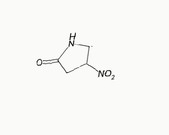 O=C1CC([N+](=O)[O-])[CH]N1